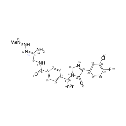 CCC[C@H](c1ccc(C(=O)NC/C(N)=N/NNC)cc1)N1CN=C(c2ccc(F)c(Cl)c2)C1=O